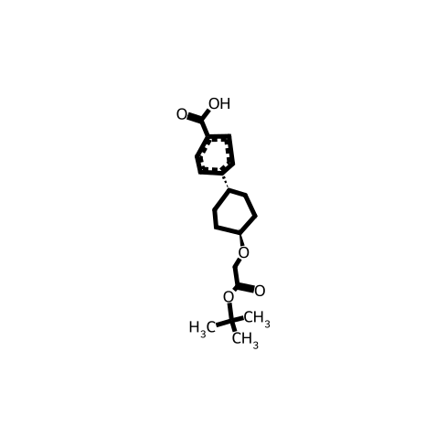 CC(C)(C)OC(=O)CO[C@H]1CC[C@H](c2ccc(C(=O)O)cc2)CC1